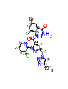 Cc1cc(Br)cc(C(N)=O)c1NC(=O)c1cc(Cn2cc(C(F)(F)F)nn2)nn1-c1ncccc1Cl